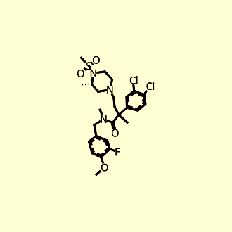 COc1ccc(CN(C)C(=O)C(C)(CCN2CCN(S(C)(=O)=O)[C@@H](C)C2)c2ccc(Cl)c(Cl)c2)cc1F